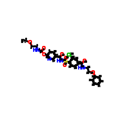 CC(C)OCCNC(=O)Oc1ccc(C(=O)NS(=O)(=O)c2ccc(C(=O)NCCOc3ccccc3)cc2Cl)cn1